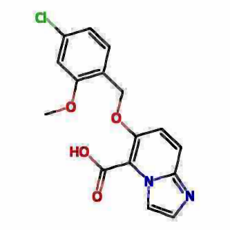 COc1cc(Cl)ccc1COc1ccc2nccn2c1C(=O)O